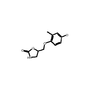 Cc1cc(Cl)ccc1OCC1CNC(=O)O1